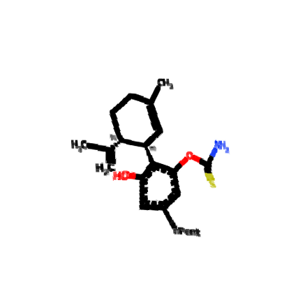 C=C(C)[C@@H]1CCC(C)=C[C@H]1c1c(O)cc(CCCCC)cc1OC(N)=S